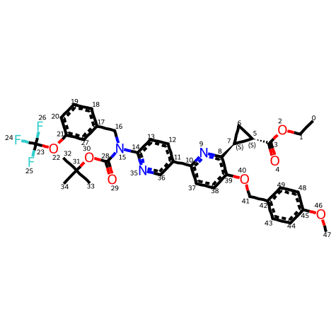 CCOC(=O)[C@H]1C[C@@H]1c1nc(-c2ccc(N(Cc3cccc(OC(F)(F)F)c3)C(=O)OC(C)(C)C)nc2)ccc1OCc1ccc(OC)cc1